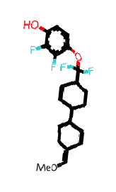 COC=C1CCC(C2CCC(C(F)(F)Oc3ccc(O)c(F)c3F)CC2)CC1